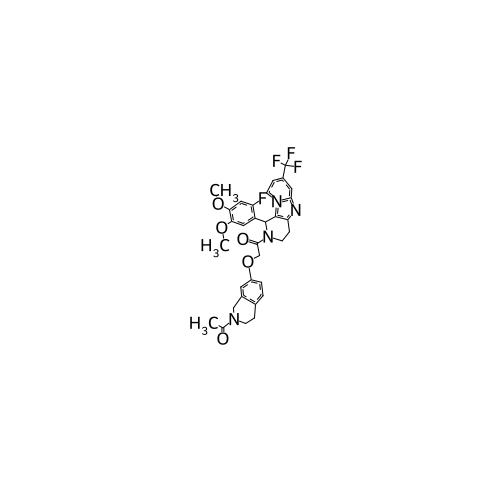 COc1cc(F)c(C2c3c(nc4cc(C(F)(F)F)ccn34)CCN2C(=O)COc2ccc3c(c2)CN(C(C)=O)CC3)cc1OC